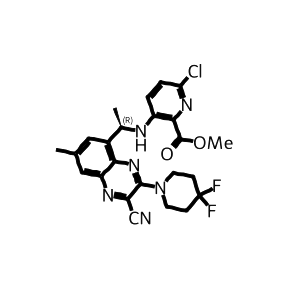 COC(=O)c1nc(Cl)ccc1N[C@H](C)c1cc(C)cc2nc(C#N)c(N3CCC(F)(F)CC3)nc12